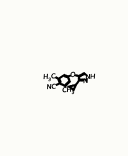 Cc1cc(Oc2c[nH]nc2C2CC2)cc(C)c1C#N